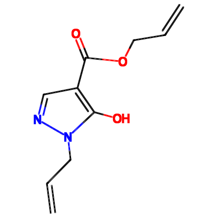 C=CCOC(=O)c1cnn(CC=C)c1O